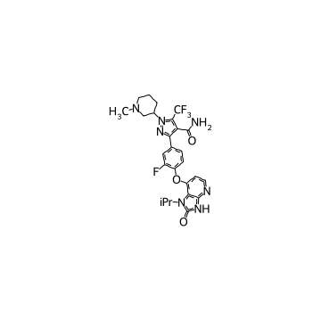 CC(C)n1c(=O)[nH]c2nccc(Oc3ccc(-c4nn(C5CCCN(C)C5)c(C(F)(F)F)c4C(N)=O)cc3F)c21